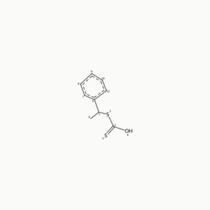 CC(SC(O)=S)c1ccccc1